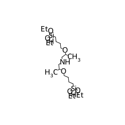 CCO[SiH](CCCCOC(C)CNCC(C)OCCCC[SiH](OCC)OCC)OCC